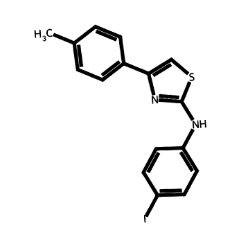 Cc1ccc(-c2csc(Nc3ccc(I)cc3)n2)cc1